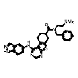 CNCCN(Cc1ccccc1)C(=O)C1CCc2c(sc3ncnc(Nc4ccc5[nH]ncc5c4)c23)C1